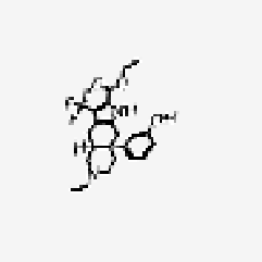 CCOC(=O)c1[nH]c2c(c1C(F)(F)F)C[C@@H]1CN(CC)CC[C@@]1(c1cccc(O)c1)C2